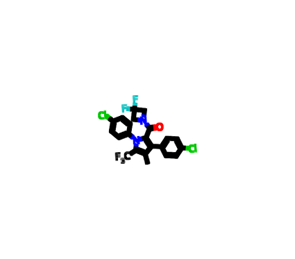 Cc1c(-c2ccc(Cl)cc2)c(C(=O)N2CC(F)(F)C2)n(-c2ccc(Cl)cc2)c1C(F)(F)F